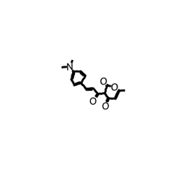 CC1=CC(=O)C(C(=O)C=Cc2ccc(N(C)C)cc2)C(=O)O1